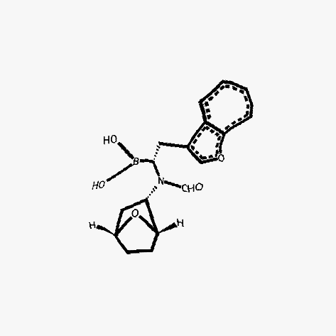 O=CN([C@@H](Cc1coc2ccccc12)B(O)O)[C@H]1C[C@H]2CC[C@@H]1O2